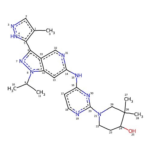 Cc1cn[nH]c1-c1nn(C(C)C)c2cc(Nc3ccnc(N4CCC(O)C(C)(C)C4)n3)ncc12